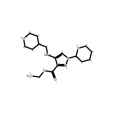 CCOC(=O)c1nn(C2CCCCO2)cc1NCC1CCOCC1